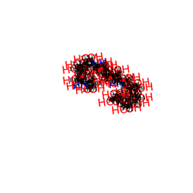 C[C@H]1O[C@H](O[C@H]2[C@H](O)[C@@H](O)[C@@H](O[C@H]3[C@H](O)[C@@H](O)[C@@H](O[C@H]4[C@H](O)[C@@H](O)[C@@H](O[C@H]5O[C@H](CO)[C@@H](O)[C@H](O)[C@H]5O)O[C@@H]4CO)O[C@@H]3CO)O[C@@H]2CO)[C@H](O)[C@@H](O)[C@@H]1N[C@H]1C=C(CO)[C@@H](O[C@H]2O[C@H](CO)[C@@H](O[C@H]3O[C@H](C)[C@@H](NC4C=C(CO)[C@@H](O[C@H]5O[C@H](CO)[C@@H](O[C@H]6O[C@H](C)[C@@H](NC7C=C(CO)[C@@H](O)[C@H](O)[C@H]7O)[C@H](O)[C@H]6O)[C@H](O)[C@H]5O)[C@H](O)[C@H]4O)[C@H](O)[C@H]3O)[C@H](O)[C@H]2O)[C@H](O)[C@H]1O